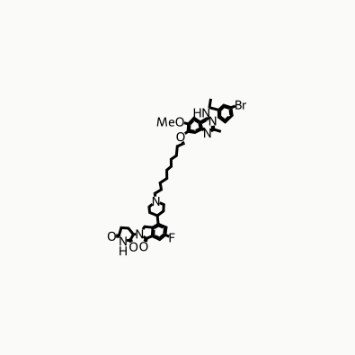 COc1cc2c(NC(C)c3cccc(Br)c3)nc(C)nc2cc1OCCCCCCCCCCN1CCC(c2cc(F)cc3c2CN(C2CCC(=O)NC2=O)C3=O)CC1